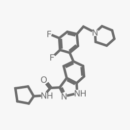 O=C(NC1CCCC1)c1n[nH]c2ccc(-c3cc(CN4CCCCC4)cc(F)c3F)cc12